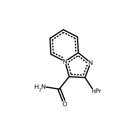 CCCc1nc2ccccn2c1C(N)=O